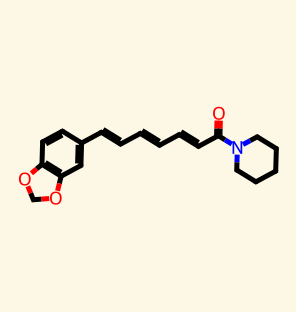 O=C(C=CC=CC=Cc1ccc2c(c1)OCO2)N1CCCCC1